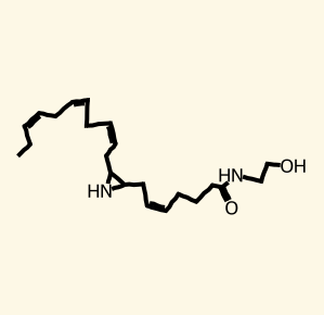 CC/C=C\C/C=C\C/C=C\CC1NC1C/C=C\CCCC(=O)NCCO